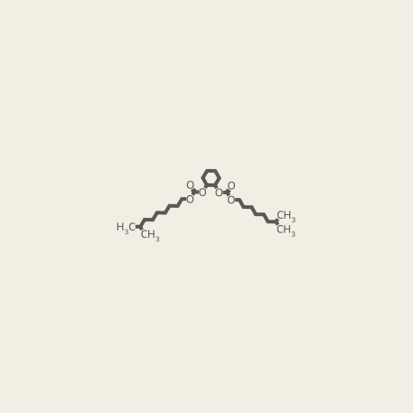 CC(C)CCCCCCCOC(=O)OC1CCCCC1OC(=O)OCCCCCCC(C)C